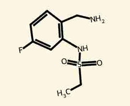 CCS(=O)(=O)Nc1cc(F)ccc1CN